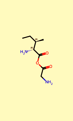 CC[C@@H](C)[C@@H](N)C(=O)OC(=O)CN